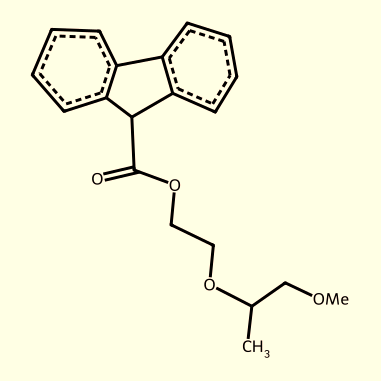 COCC(C)OCCOC(=O)C1c2ccccc2-c2ccccc21